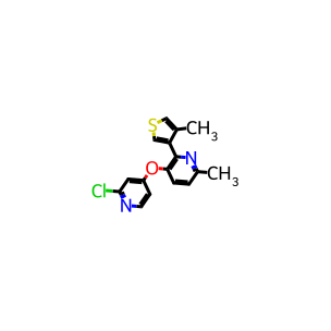 Cc1ccc(Oc2ccnc(Cl)c2)c(-c2cscc2C)n1